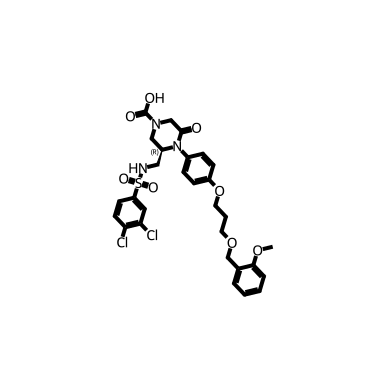 COc1ccccc1COCCCOc1ccc(N2C(=O)CN(C(=O)O)C[C@@H]2CNS(=O)(=O)c2ccc(Cl)c(Cl)c2)cc1